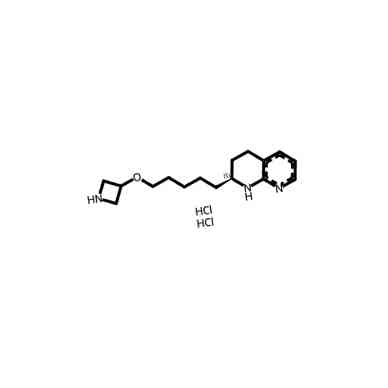 Cl.Cl.c1cnc2c(c1)CC[C@H](CCCCCOC1CNC1)N2